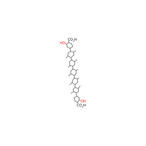 CC1CC(C2CC(C)C(C3CC(C)C(C4CC(C)C(C5CC(C)C(C6CCC(C(=O)O)C(O)C6)CC5C)CC4C)CC3C)CC2C)C(C)CC1C1CCC(C(=O)O)C(O)C1